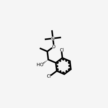 CC(O[Si](C)(C)C)[C@@H](O)c1c(Cl)cccc1Cl